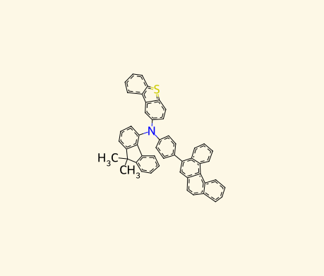 CC1(C)c2ccccc2-c2c(N(c3ccc(-c4cc5ccc6ccccc6c5c5ccccc45)cc3)c3ccc4sc5ccccc5c4c3)cccc21